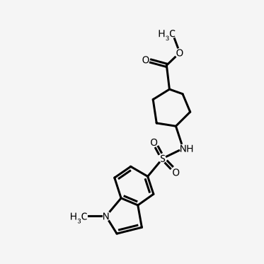 COC(=O)C1CCC(NS(=O)(=O)c2ccc3c(ccn3C)c2)CC1